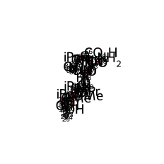 CC[C@H](C)[C@@H]([C@@H](CC(=O)N1CCC[C@H]1[C@H](OC)[C@@H](C)C(=O)N[C@H](C)[C@@H](O)c1ccccc1)OC)N(C)C(=O)[C@@H](NC(=O)[C@H](C(C)C)N(C)C(=O)OCc1ccc(NC(=O)[C@H](CCCNC(N)=O)NC(=O)[C@H](CCC(=O)O)NC(=O)[C@@H](CC(C)C)NC(=O)CCN2C(=O)C=CC2=O)cc1)C(C)C